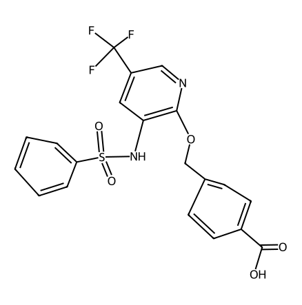 O=C(O)c1ccc(COc2ncc(C(F)(F)F)cc2NS(=O)(=O)c2ccccc2)cc1